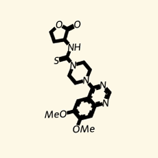 COc1cc2ncnc(N3CCN(C(=S)NC4CCOC4=O)CC3)c2cc1OC